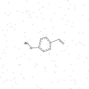 C=Cc1ccc(OC(C)CC)cc1